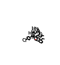 CCc1cccc(CC)c1-n1c(C=C(C)C)c(C(=O)N2CCNCC2CC(=O)O)cc(-c2nc(-c3ccc(Cl)cc3)cs2)c1=O